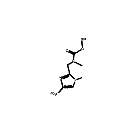 CN(Cc1nc(C(=O)O)cn1C)C(=O)OC(C)(C)C